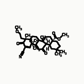 COCC[C@]1(C)C(=O)C(C#N)=C[C@]2(C)C3=CC(=O)[C@@H]4[C@@H]5CC(C)(C)CC[C@]5(C(=O)OC)CC[C@@]4(C)[C@]3(C)CCC21